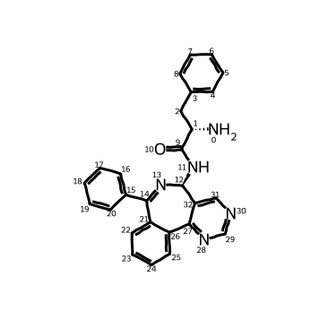 N[C@@H](Cc1ccccc1)C(=O)N[C@@H]1N=C(c2ccccc2)c2ccccc2-c2ncncc21